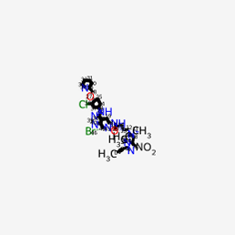 CC#Cc1nc([N+](=O)[O-])c(C[N+](C)(C)C/C=C/C(=O)Nc2cc3c(Nc4ccc(OCc5ccccn5)c(Cl)c4)ncnc3cn2)n1C.[Br-]